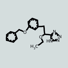 CCOC(Cc1cccc(OCc2ccccc2)c1)c1nnn[nH]1